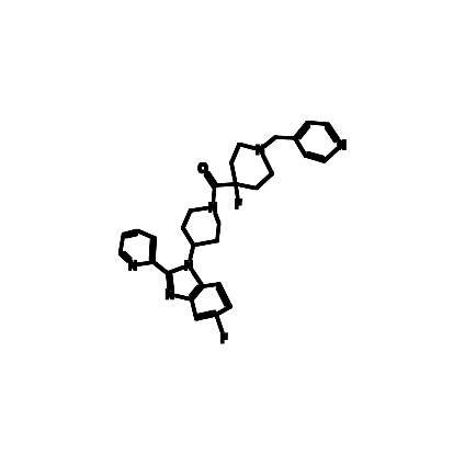 O=C(N1CCC(n2c(-c3ccccn3)nc3cc(F)ccc32)CC1)C1(F)CCN(Cc2ccncc2)CC1